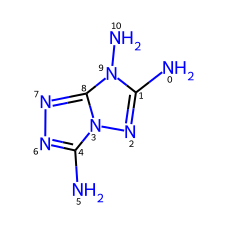 Nc1nn2c(N)nnc2n1N